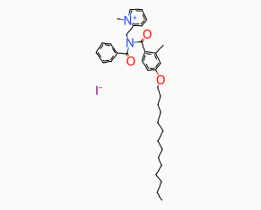 CCCCCCCCCCCCCCOc1ccc(C(=O)N(Cc2cccc[n+]2C)C(=O)c2ccccc2)c(C)c1.[I-]